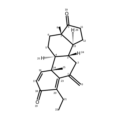 C=C1C[C@@H]2[C@H](CC[C@]3(C)C(=O)CC[C@@H]23)[C@@]2(C)C=CC(=O)C(CC)=C12